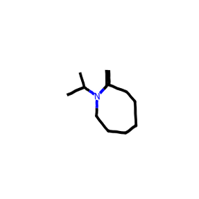 C=C1CCCCCCN1C(C)C